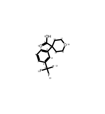 O=C(O)C1(c2cccc(C(F)(F)F)c2)CCOCC1